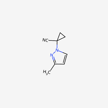 Cc1ccn(C2(C#N)CC2)n1